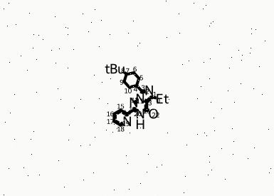 CCc1nc(C2CCC(C(C)(C)C)CC2)n2nc(-c3ccccn3)[nH]c(=O)c12